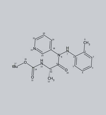 Cc1ccccc1NN(C(=O)[C@H](C)NC(=O)OC(C)(C)C)c1cccnc1